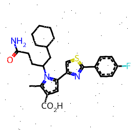 Cc1c(C(=O)O)cc(-c2csc(-c3ccc(F)cc3)n2)n1C(CCC(N)=O)CC1CCCCC1